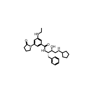 CCNc1cc(C(=O)N[C@@H](Cc2ccccc2)[C@@H](O)CNC2CCCC2)cc(N2CCCC2=O)c1